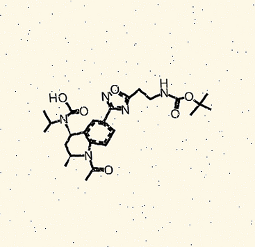 CC(=O)N1c2ccc(-c3noc(CCNC(=O)OC(C)(C)C)n3)cc2[C@H](N(C(=O)O)C(C)C)C[C@@H]1C